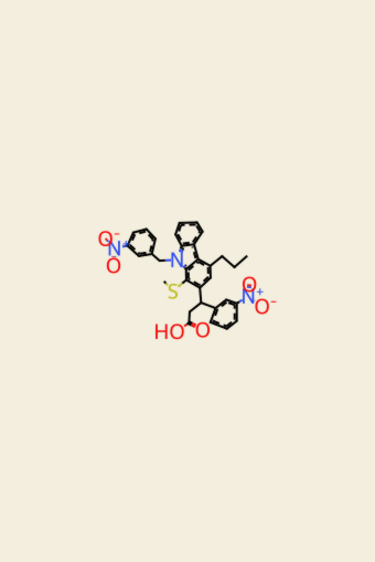 CCCc1cc(C(CC(=O)O)c2cccc([N+](=O)[O-])c2)c(SC)c2c1c1ccccc1n2Cc1cccc([N+](=O)[O-])c1